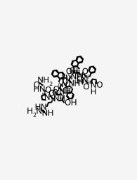 CC(C)C[C@H](NC(=O)[C@H](Cc1cccc2ccccc12)NC(=O)[C@H](Cc1ccc(O)cc1)NC(=O)[C@H](CO)NC(=O)[C@H](Cc1cccc2ccccc12)NC(=O)[C@@H](Cc1ccccc1)NC(=O)[C@@H]1CCC(=O)N1)C(=O)N[C@@H](CCCNC(=N)N)C(=O)N1CCC[C@H]1C(=O)NCC(N)=O